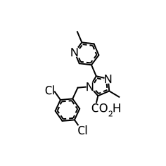 Cc1ccc(-c2nc(C)c(C(=O)O)n2Cc2cc(Cl)ccc2Cl)cn1